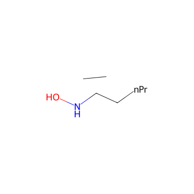 CC.CCCCCNO